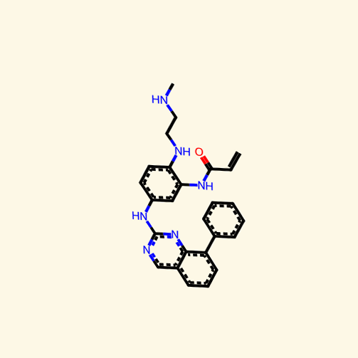 C=CC(=O)Nc1cc(Nc2ncc3cccc(-c4ccccc4)c3n2)ccc1NCCNC